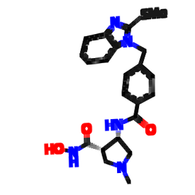 CSc1nc2ccccc2n1Cc1ccc(C(=O)N[C@@H]2CN(C)C[C@@H]2C(=O)NO)cc1